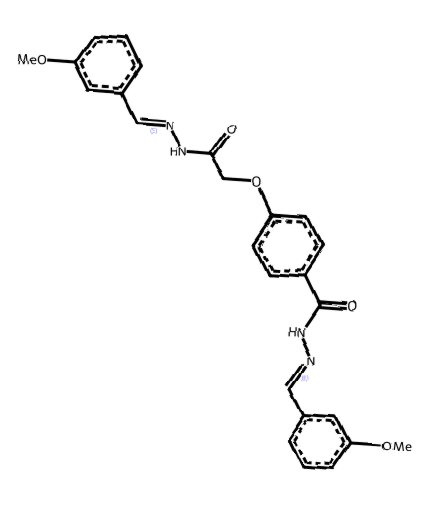 COc1cccc(/C=N/NC(=O)COc2ccc(C(=O)N/N=C/c3cccc(OC)c3)cc2)c1